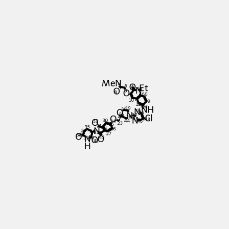 CCn1c(=O)c(OCC(=O)NC)cc2cc(Nc3nc(N4CCO[C@H](COc5ccc6c(c5)C(=O)N(C5CCC(=O)NC5=O)C6=O)C4)ncc3Cl)ccc21